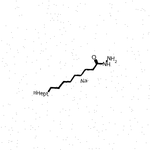 CCCCCCCCCCCCCCCC(=O)NN.[Na]